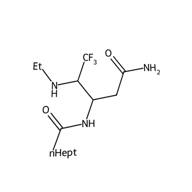 CCCCCCCC(=O)NC(CC(N)=O)C(NCC)C(F)(F)F